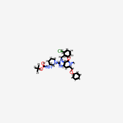 Cn1c(COc2ccccc2)cc2nc(N3CCC[C@@H](NC(=O)OC(C)(C)C)C3)n(Cc3ccccc3Cl)c2c1=O